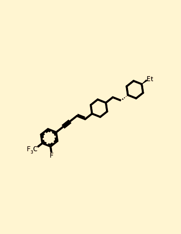 CC[C@H]1CC[C@H](CCC2CCC(/C=C/C#Cc3ccc(C(F)(F)F)c(F)c3)CC2)CC1